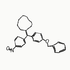 O=Nc1ccc(C(=C2CCCCCCC2)c2ccc(OCc3ccccc3)cc2)cc1